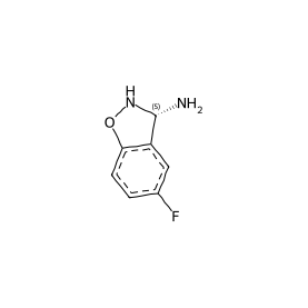 N[C@H]1NOc2ccc(F)cc21